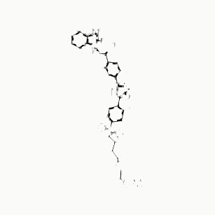 COCCCCCCCS(=O)(=O)c1ccc(-c2nc(-c3ccc(C(=O)On4nnc5ccccc54)cc3)no2)cc1